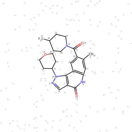 Cc1cc2[nH]c(=O)c3cnn(C4CCOCC4)c3c2cc1C(=O)N1CCC(C(F)(F)F)CC1